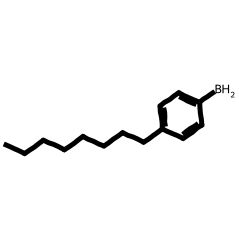 Bc1ccc(CCCCCCCC)cc1